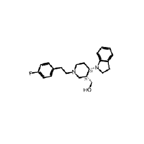 OC[C@@H]1CN(CCc2ccc(F)cc2)CC[C@@H]1N1CCc2ccccc21